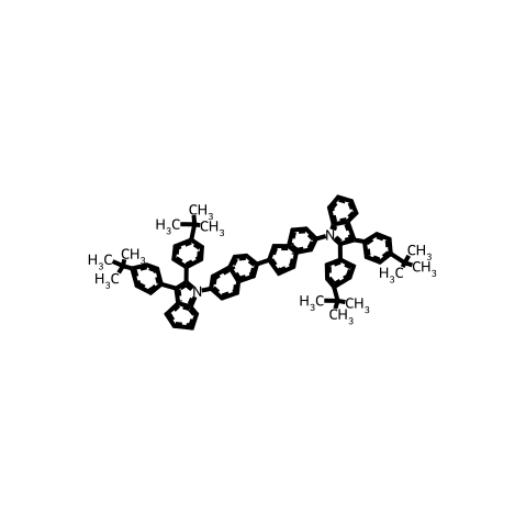 CC(C)(C)c1ccc(-c2c(-c3ccc(C(C)(C)C)cc3)n(-c3ccc4cc(-c5ccc6cc(-n7c(-c8ccc(C(C)(C)C)cc8)c(-c8ccc(C(C)(C)C)cc8)c8ccccc87)ccc6c5)ccc4c3)c3ccccc23)cc1